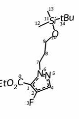 CCOC(=O)c1c(F)cnn1CCCO[Si](C)(C)C(C)(C)C